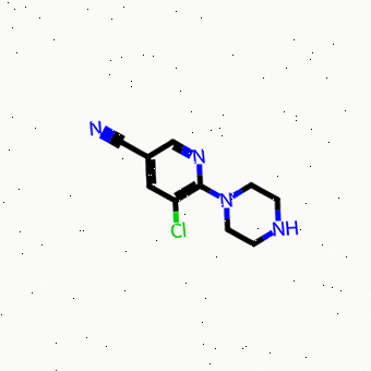 N#Cc1cnc(N2CCNCC2)c(Cl)c1